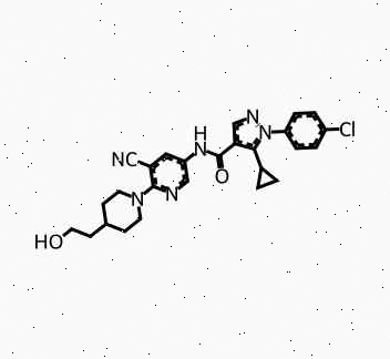 N#Cc1cc(NC(=O)c2cnn(-c3ccc(Cl)cc3)c2C2CC2)cnc1N1CCC(CCO)CC1